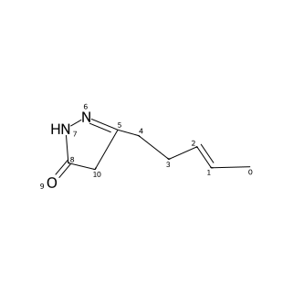 CC=CCCC1=NNC(=O)C1